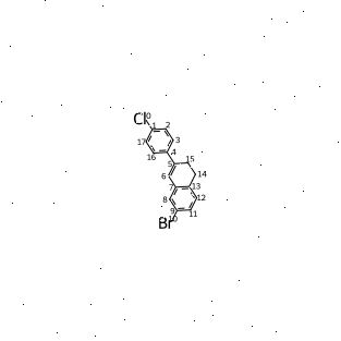 Clc1ccc(C2=Cc3cc(Br)ccc3CC2)cc1